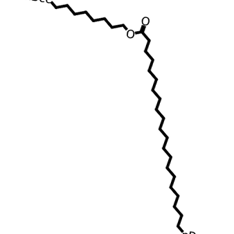 CCCCCCCCCCCCCCCCCCCCCCCCCCCCCCC(=O)OCCCCCCCCCCCCCCCCCC